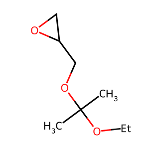 CCOC(C)(C)OCC1CO1